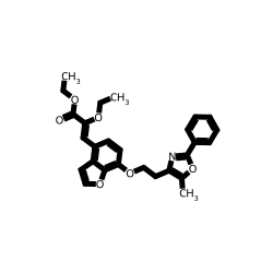 CCOC(=O)/C(=C/c1ccc(OCCc2nc(-c3ccccc3)oc2C)c2occc12)OCC